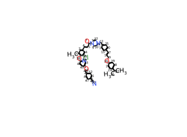 Cc1cc(C=CC(=O)N2CCN(Cc3ccc(C=CCOc4ccc(C(C)C)cc4)cc3)CC2)cc(Cl)c1Oc1ccc(OCc2ccc(C#N)cc2)cn1